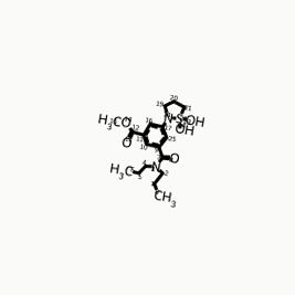 CCCN(CCC)C(=O)c1cc(C(=O)OC)cc(N2CCCS2(O)O)c1